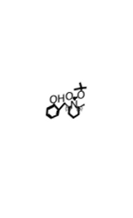 C[C@H]1CCC[C@@H](Cc2ccccc2O)N1C(=O)OC(C)(C)C